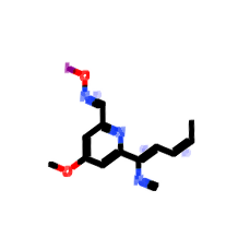 C=N/C(=C\C=C/C)c1cc(OC)cc(/C=N/OI)n1